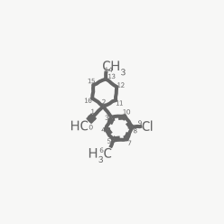 C#CC1(c2cc(C)cc(Cl)c2)CCC(C)CC1